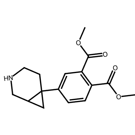 COC(=O)c1ccc(C23CCNCC2C3)cc1C(=O)OC